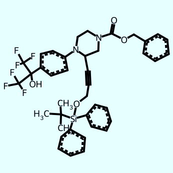 CC(C)(C)[Si](OCC#CC1CN(C(=O)OCc2ccccc2)CCN1c1ccc(C(O)(C(F)(F)F)C(F)(F)F)cc1)(c1ccccc1)c1ccccc1